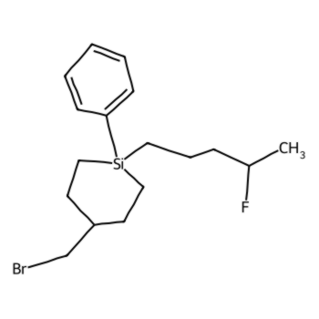 CC(F)CCC[Si]1(c2ccccc2)CCC(CBr)CC1